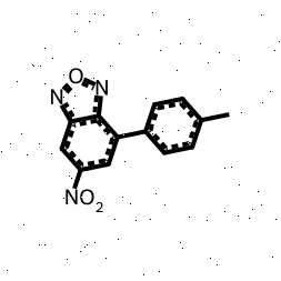 Cc1ccc(-c2cc([N+](=O)[O-])cc3nonc23)cc1